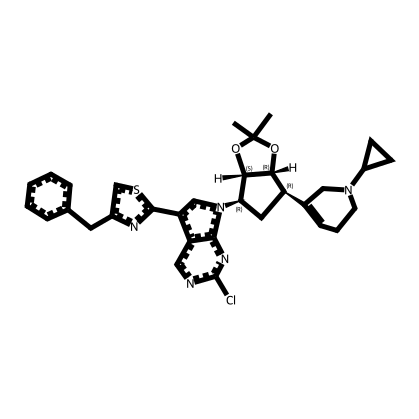 CC1(C)O[C@@H]2[C@H](O1)[C@@H](C1=CCCN(C3CC3)C1)C[C@H]2n1cc(-c2nc(Cc3ccccc3)cs2)c2cnc(Cl)nc21